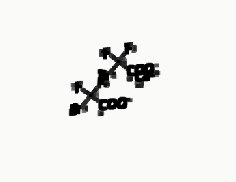 O=C([O-])C(F)(F)Br.O=C([O-])C(F)(F)Br.[Ca+2]